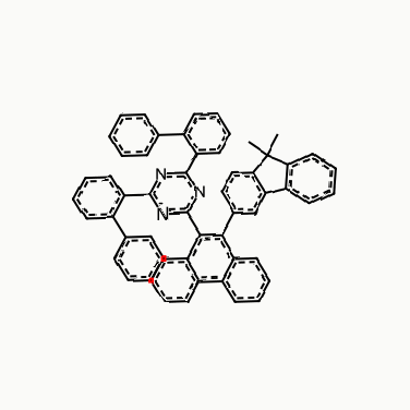 CC1(C)c2ccccc2-c2cc(-c3c(-c4nc(-c5ccccc5-c5ccccc5)nc(-c5ccccc5-c5ccccc5)n4)c4ccccc4c4ccccc34)ccc21